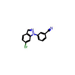 N#Cc1cccc(-n2ncc3ccc(Br)cc32)c1